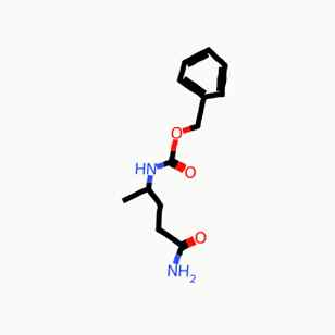 CC(CCC(N)=O)NC(=O)OCc1ccccc1